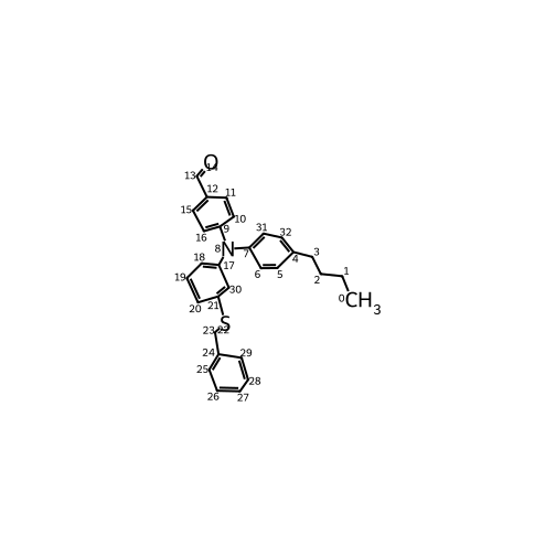 CCCCc1ccc(N(c2ccc(C=O)cc2)c2cccc(SCc3ccccc3)c2)cc1